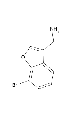 NCc1coc2c(Br)cccc12